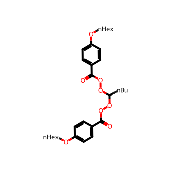 [CH2]CCC[C](OOC(=O)c1ccc(OCCCCCC)cc1)OOC(=O)c1ccc(OCCCCCC)cc1